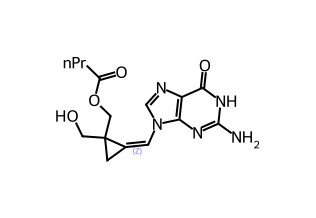 CCCC(=O)OCC1(CO)C/C1=C/n1cnc2c(=O)[nH]c(N)nc21